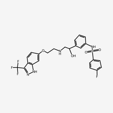 O=S(=O)(Nc1cccc(C(O)CNCCOc2ccc3c(C(F)(F)F)n[nH]c3c2)c1)c1ccc(F)cc1